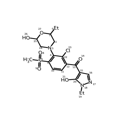 CCC1CN(c2c(S(C)(=O)=O)ccc(C(=O)c3cnn(CC)c3O)c2Cl)CC(O)O1